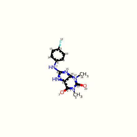 Cn1c(=O)c2[nH]c(Nc3ccc(F)cc3)nc2n(C)c1=O